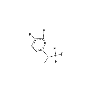 CC(c1ccc(F)c(F)c1)C(F)(F)F